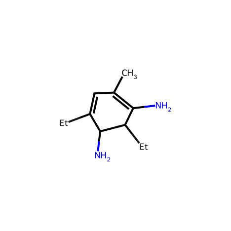 CCC1=CC(C)=C(N)C(CC)C1N